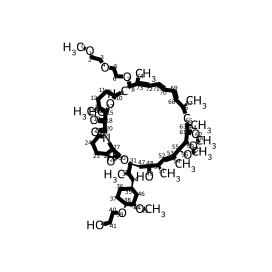 COCCOCCOC1C[C@@H]2CC[C@@H](C)[C@@](O)(O2)C(=O)C(=O)N2CCCC[C@H]2C(=O)O[C@H]([C@H](C)C[C@@H]2CC[C@@H](OCCO)[C@H](OC)C2)CC(O)[C@H](C)/C=C(\C)[C@@H](OC)[C@@H](OC)C(=O)[C@H](C)C[C@H](C)/C=C/C=C/C=C/1C